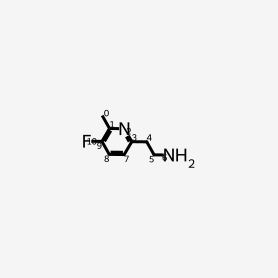 Cc1nc(CCN)ccc1F